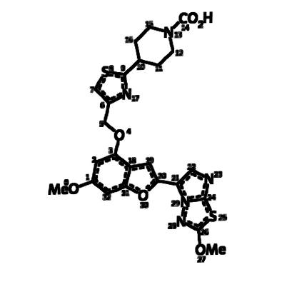 COc1cc(OCc2csc(C3CCN(C(=O)O)CC3)n2)c2cc(-c3cnc4sc(OC)nn34)oc2c1